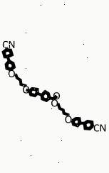 N#Cc1ccc(-c2ccc(OCCCCCOC(=O)c3ccc(-c4ccc(OCCCCCOc5ccc(-c6ccc(C#N)cc6)cc5)cc4)cc3)cc2)cc1